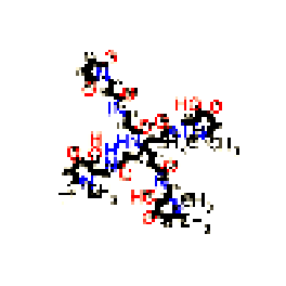 Cc1cc(=O)c(O)c(CNC(=O)CCC(CCC(=O)NCc2c(O)c(=O)cc(C)n2C)(CCC(=O)NCc2c(O)c(=O)cc(C)n2C)NC(=O)CCNC(=O)CCN2C(=O)C=CC2=O)n1C